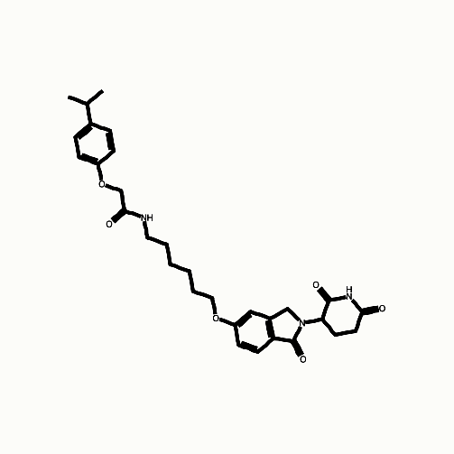 CC(C)c1ccc(OCC(=O)NCCCCCCOc2ccc3c(c2)CN(C2CCC(=O)NC2=O)C3=O)cc1